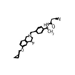 C[C@H](NC(=O)CC#N)C1=CCC(CN2Cc3ccc(OCC4CC4)cc3[C@@H](F)C2)C=C1